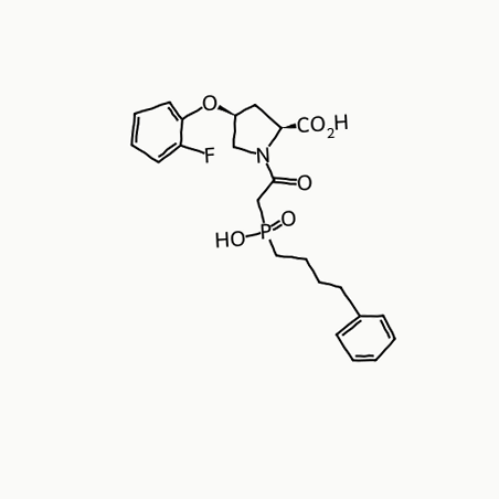 O=C(O)[C@@H]1C[C@H](Oc2ccccc2F)CN1C(=O)CP(=O)(O)CCCCc1ccccc1